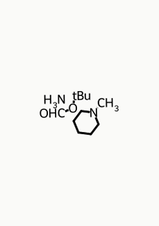 CC(C)(C)OC=O.CN1CCCCC1.N